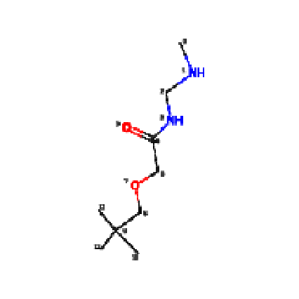 CNCNC(=O)COCC(C)(C)C